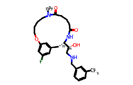 CCCN1CCCCOc2cc(F)cc(c2)C[C@@H]([C@H](O)CNCc2cccc(C(F)(F)F)c2)NC(=O)CCCC1=O